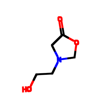 O=C1CN(CCO)CO1